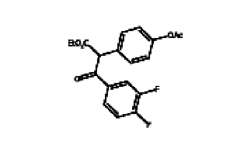 CCOC(=O)C(C(=O)c1ccc(F)c(F)c1)c1ccc(OC(C)=O)cc1